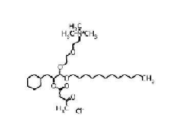 CCCCCCCCCCCCOC(OCCOCC[N+](C)(C)C)C(CC1CCCCC1)OC(=O)CC(C)=O.[Cl-]